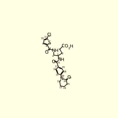 O=C(O)CCC(CNC(=O)c1ccc(Cl)s1)NC(=O)c1ccc(N2CCCCC2=O)cc1